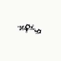 O=C(NOCC1CCCN1)[C@@H]1CCC2CN1C(=O)N2OS(=O)(=O)O